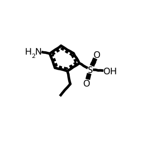 CCc1cc(N)ccc1S(=O)(=O)O